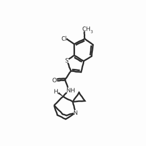 Cc1ccc2cc(C(=O)N[C@H]3C4CCN(CC4)C34CC4)sc2c1Cl